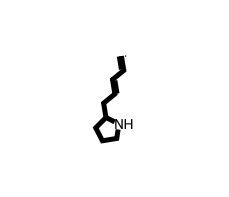 [CH]=CC=CCC1CCCN1